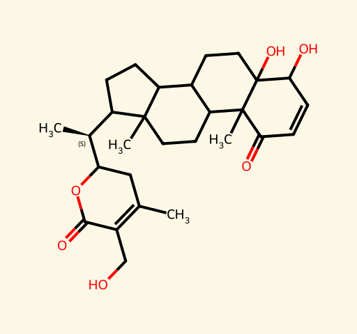 CC1=C(CO)C(=O)OC([C@@H](C)C2CCC3C4CCC5(O)C(O)C=CC(=O)C5(C)C4CCC32C)C1